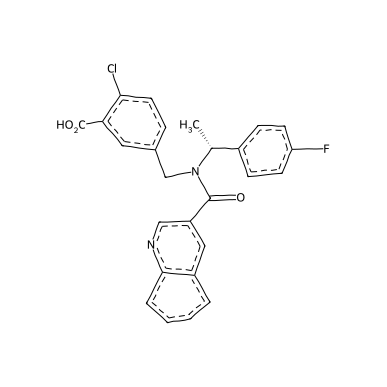 C[C@H](c1ccc(F)cc1)N(Cc1ccc(Cl)c(C(=O)O)c1)C(=O)c1cnc2ccccc2c1